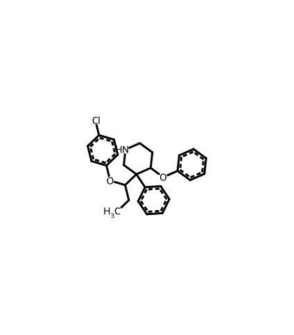 CCC(Oc1ccc(Cl)cc1)C1(c2ccccc2)CNCCC1Oc1ccccc1